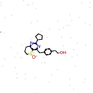 [O-][S+]1CCCc2nc(C3CCCC3)nc(Cc3ccc(CCO)cc3)c21